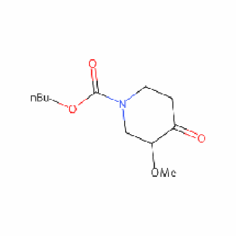 CCCCOC(=O)N1CCC(=O)C(OC)C1